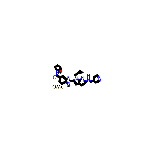 COc1cc(C(=O)N2CC3CCC2[C@@H]3C)cc2nc(-c3cc4ccc(NCc5ccncc5)nc4n3CC3CC3)n(C)c12